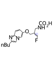 CCCCc1cn2cc(OC/C(=C\F)CNC(=O)O)ccc2n1